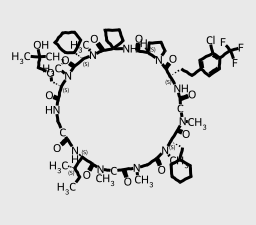 CC[C@H](C)[C@@H]1NC(=O)CCNC(=O)[C@H](COCC(C)(C)O)N(C)C(=O)[C@H](C2CCCCC2)N(C)C(=O)C2(CCCC2)NC(=O)[C@@H]2CCCN2C(=O)[C@H](CCc2ccc(C(F)(F)F)c(Cl)c2)NC(=O)CN(C)C(=O)[C@H](CC2CCCCC2)N(C)C(=O)CN(C)C(=O)CN(C)C1=O